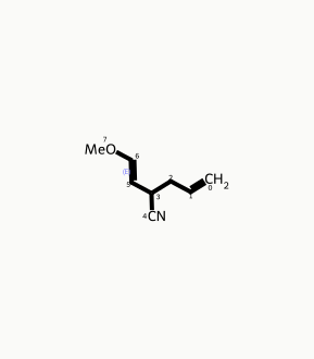 C=CCC(C#N)/C=C/OC